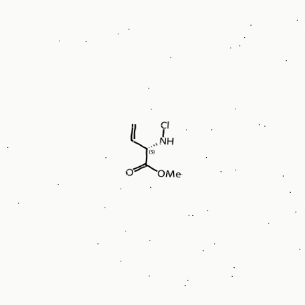 C=C[C@H](NCl)C(=O)OC